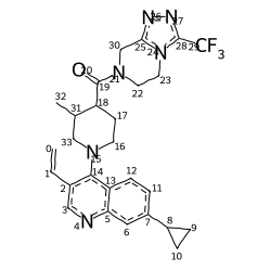 C=Cc1cnc2cc(C3CC3)ccc2c1N1CCC(C(=O)N2CCn3c(nnc3C(F)(F)F)C2)C(C)C1